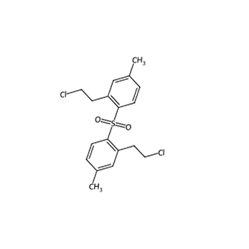 Cc1ccc(S(=O)(=O)c2ccc(C)cc2CCCl)c(CCCl)c1